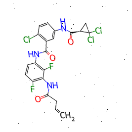 C=CCC(=O)Nc1c(F)ccc(NC(=O)c2cc(NC(=O)[C@H]3CC3(Cl)Cl)ccc2Cl)c1F